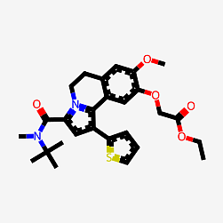 CCOC(=O)COc1cc2c(cc1OC)CCn1c(C(=O)N(C)C(C)(C)C)cc(-c3cccs3)c1-2